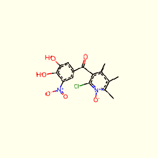 Cc1c(C)c(C)[n+]([O-])c(Cl)c1C(=O)c1cc(O)c(O)c([N+](=O)[O-])c1